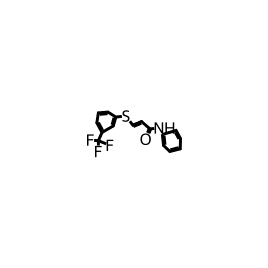 O=C(/C=C/Sc1cccc(C(F)(F)F)c1)Nc1ccccc1